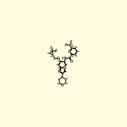 O=C(Nc1cn2cc(C3CCOCC3)nc2cc1OCC1CC1(F)F)c1cccc(C(F)F)n1